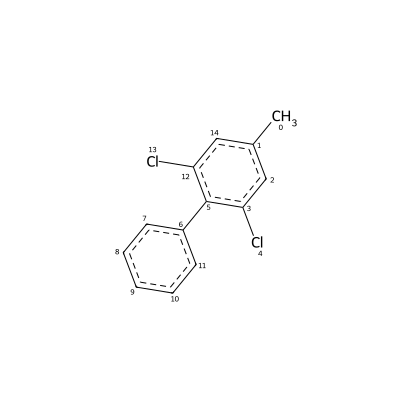 Cc1cc(Cl)c(-c2ccccc2)c(Cl)c1